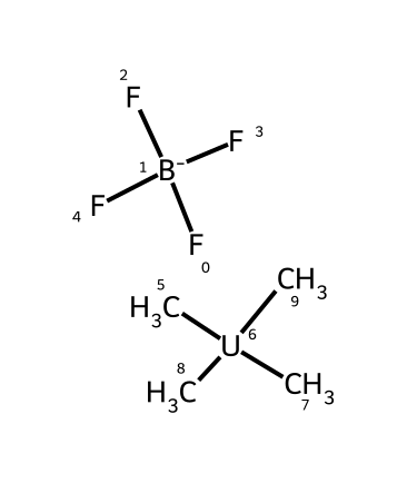 F[B-](F)(F)F.[CH3][U]([CH3])([CH3])[CH3]